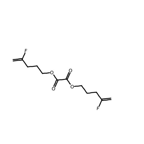 C=C(F)CCCOC(=O)C(=O)OCCCC(=C)F